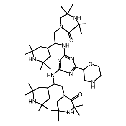 CC1(C)CC(C(CN2CC(C)(C)NC(C)(C)C2=O)Nc2nc(NC(CN3CC(C)(C)NC(C)(C)C3=O)C3CC(C)(C)NC(C)(C)C3)nc(C3CNCCO3)n2)CC(C)(C)N1